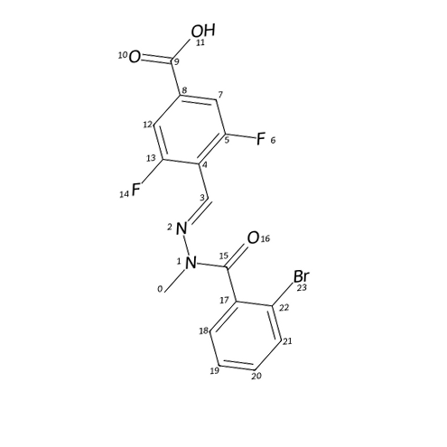 CN(N=Cc1c(F)cc(C(=O)O)cc1F)C(=O)c1ccccc1Br